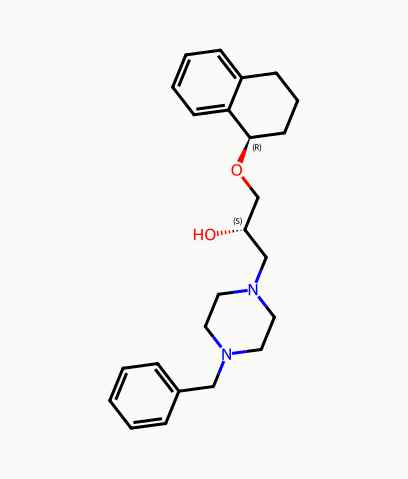 O[C@H](CO[C@@H]1CCCc2ccccc21)CN1CCN(Cc2ccccc2)CC1